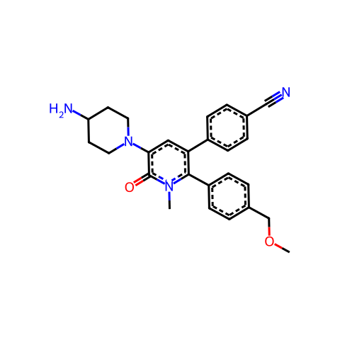 COCc1ccc(-c2c(-c3ccc(C#N)cc3)cc(N3CCC(N)CC3)c(=O)n2C)cc1